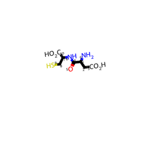 NC(CC(=O)O)C(=O)NC(CS)C(=O)O